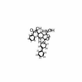 CN(C(=O)c1ccccc1)C1CN[C@H](C(=O)N2CC=C(c3ccccc3)CC2)[C@@H](C(=O)NO)C1